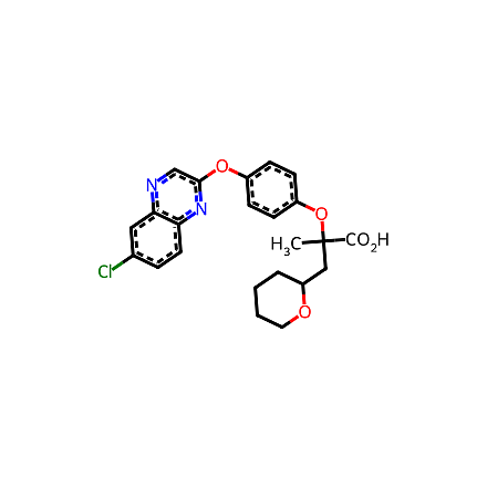 CC(CC1CCCCO1)(Oc1ccc(Oc2cnc3cc(Cl)ccc3n2)cc1)C(=O)O